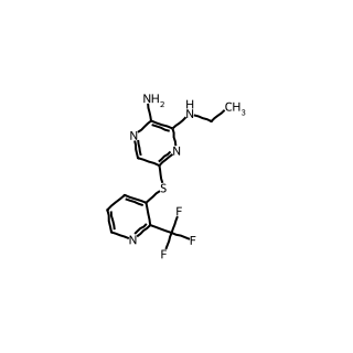 CCNc1nc(Sc2cccnc2C(F)(F)F)cnc1N